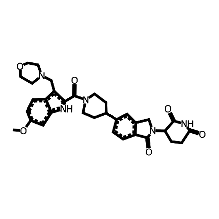 COc1ccc2c(CN3CCOCC3)c(C(=O)N3CCC(c4ccc5c(c4)CN(C4CCC(=O)NC4=O)C5=O)CC3)[nH]c2c1